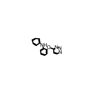 c1ccc(Nc2ccccc2Oc2ccnnn2)cc1